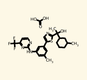 Cc1cc(Nc2nccc(C(F)(F)F)n2)cc(-c2cnc(C(C)(O)C3CCCC(C)C3)s2)c1.O=C(O)O